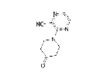 N#Cc1nccnc1N1CCC(=O)CC1